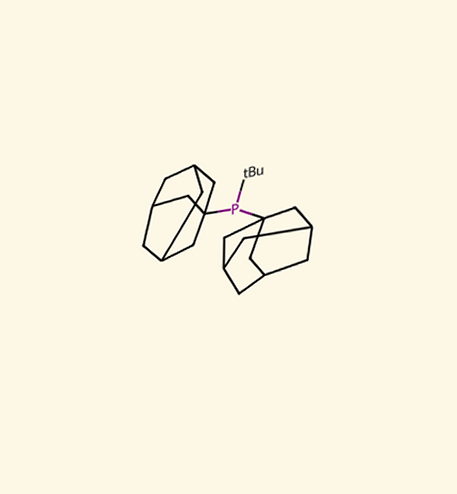 CC(C)(C)P(C12CC3CC(CC(C3)C1)C2)C12CC3CC(CC(C3)C1)C2